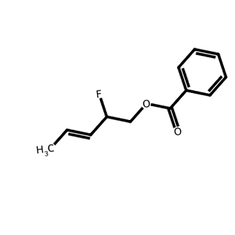 C/C=C/C(F)COC(=O)c1ccccc1